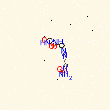 NC(=O)ON1CCC(CCN2CCN(c3cccc(C(=O)NC4CCC(=O)NC4=O)c3)CC2)C1